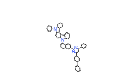 c1ccc(-c2ccc(-c3cc(-c4ccccc4)nc(-c4ccc5c(-n6c7ccccc7c7c8c9ccccc9n(-c9ccccc9)c8ccc76)cccc5c4)n3)cc2)cc1